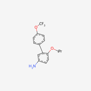 CC(C)Oc1ccc(N)cc1-c1ccc(OC(F)(F)F)cc1